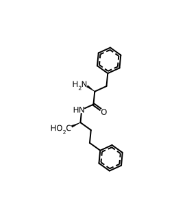 N[C@@H](Cc1ccccc1)C(=O)N[C@@H](CCc1ccccc1)C(=O)O